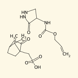 C=CCOC(=O)NC1CNNC1=O.CC1(C)C2CCC1(CS(=O)(=O)O)C(=O)C2